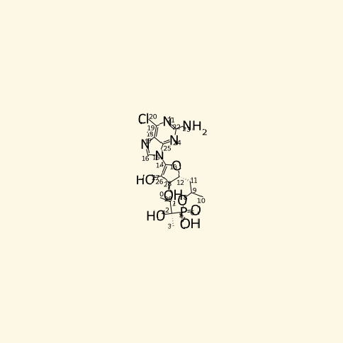 CC[C@](C)(O)P(=O)(O)OC(C)C[C@H]1OC(n2cnc3c(Cl)nc(N)nc32)=C(O)[C@@H]1O